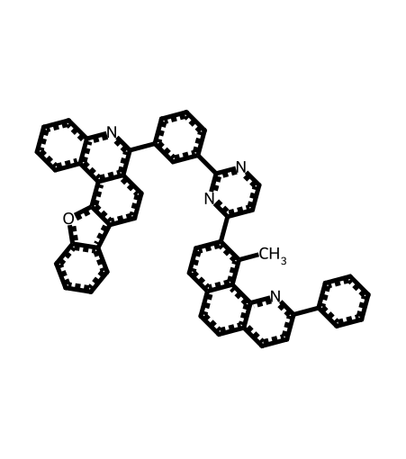 Cc1c(-c2ccnc(-c3cccc(-c4nc5ccccc5c5c4ccc4c6ccccc6oc45)c3)n2)ccc2ccc3ccc(-c4ccccc4)nc3c12